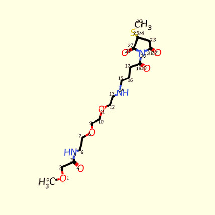 COCC(=O)NCCOCCOCCNCCCC(=O)N1C(=O)CC(SC)C1=O